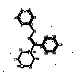 C(/Cc1ccccc1)=C(/c1ccccc1)N1CCOCC1